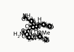 C=C(C(N)=O)c1cccnc1-c1c(Cl)ccc2cnc(Nc3ccc(N4CCOCC4)cc3OC)nc12.NC(=O)C=Cc1ccnc(-c2c(Cl)ccc3cnc(Nc4ccc(N5CCOCC5)cc4)nc23)c1